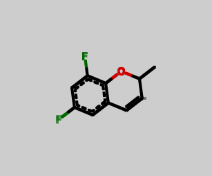 CC1[C]=Cc2cc(F)cc(F)c2O1